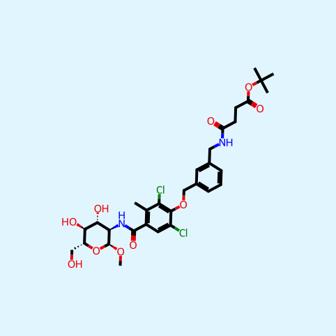 CO[C@H]1O[C@H](CO)[C@@H](O)[C@H](O)[C@H]1NC(=O)c1cc(Cl)c(OCc2cccc(CNC(=O)CCC(=O)OC(C)(C)C)c2)c(Cl)c1C